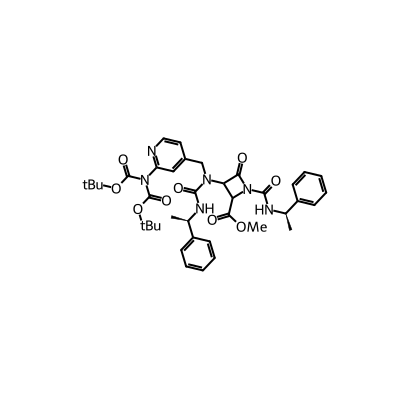 COC(=O)C1C(N(Cc2ccnc(N(C(=O)OC(C)(C)C)C(=O)OC(C)(C)C)c2)C(=O)N[C@H](C)c2ccccc2)C(=O)N1C(=O)N[C@H](C)c1ccccc1